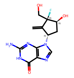 C=C1[C@@H](n2cnc3c(=O)[nH]c(N)nc32)C[C@H](O)[C@@]1(F)CO